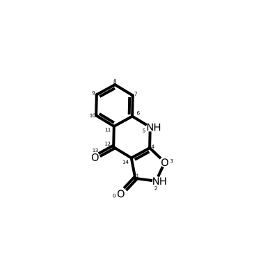 O=c1[nH]oc2[nH]c3ccccc3c(=O)c12